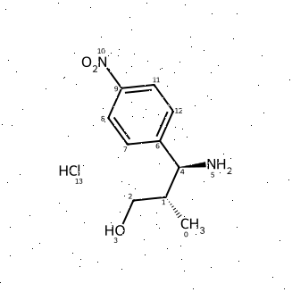 C[C@H](CO)[C@H](N)c1ccc([N+](=O)[O-])cc1.Cl